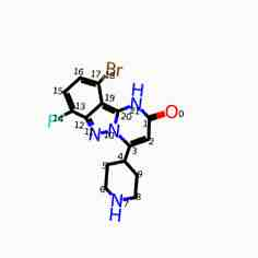 O=c1cc(C2CCNCC2)n2nc3c(F)ccc(Br)c3c2[nH]1